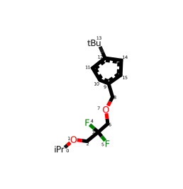 CC(C)OCC(F)(F)COCc1ccc(C(C)(C)C)cc1